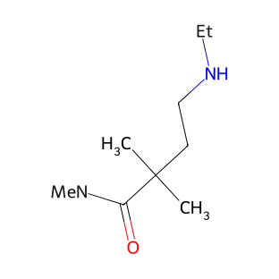 CCNCCC(C)(C)C(=O)NC